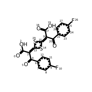 O=C(O)C(C(=O)c1ccc(F)cc1)=c1sc(=C(C(=O)O)C(=O)c2ccc(F)cc2)s1